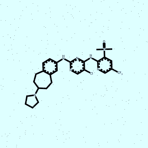 CP(C)(=O)c1cc(C(F)(F)F)cnc1Nc1nc(Nc2ccc3c(c2)CCC(N2CCCC2)CC3)ncc1Cl